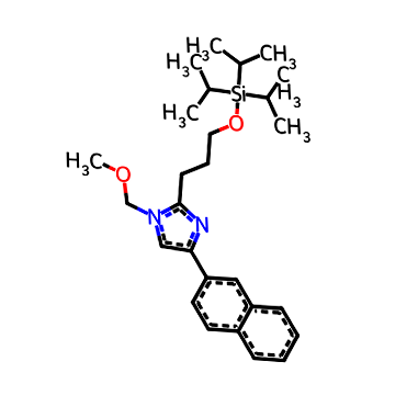 COCn1cc(-c2ccc3ccccc3c2)nc1CCCO[Si](C(C)C)(C(C)C)C(C)C